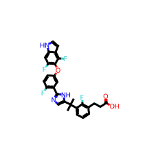 CC(C)(c1cnc(-c2cc(Oc3c(F)cc4[nH]ccc4c3F)ccc2F)[nH]1)c1cccc(CCC(=O)O)c1F